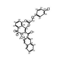 CN1C(C(=O)c2ccc3ccccc3c2)=C(OC(=O)COc2ccc(Cl)cc2)c2ccccc2S1(=O)=O